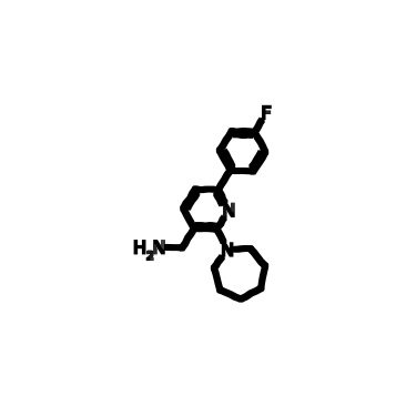 NCc1ccc(-c2ccc(F)cc2)nc1N1CCCCCC1